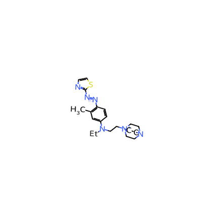 CCN(CC[N+]12CCN(CC1)CC2)c1ccc(/N=N/c2nccs2)c(C)c1